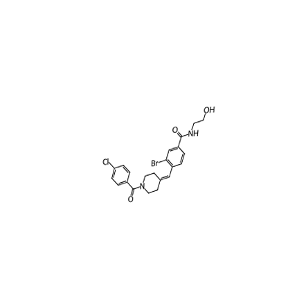 O=C(NCCO)c1ccc(C=C2CCN(C(=O)c3ccc(Cl)cc3)CC2)c(Br)c1